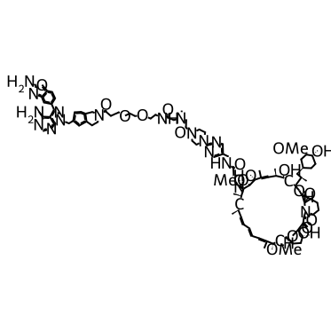 CO[C@H]1C[C@@H]2CC[C@@H](C)[C@@](O)(O2)C(=O)C(=O)N2CCCC[C@H]2C(=O)O[C@H]([C@H](C)C[C@@H]2CC[C@@H](O)[C@H](OC)C2)C[C@@H](O)[C@H](C)/C=C(\C)[C@@H](O)[C@@H](OC)C(=NOCC(=O)NCc2cnc(N3CCN(C(=O)CN(C)CC(=O)NCCOCCOCCC(=O)N4CCc5cc(Cn6nc(-c7ccc8oc(N)nc8c7)c7c(N)ncnc76)ccc5C4)CC3)nc2)[C@H](C)C[C@H](C)/C=C/C=C/C=C/1C